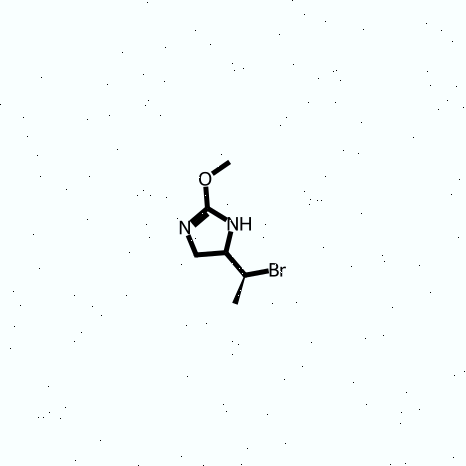 COC1=NCC([C@H](C)Br)N1